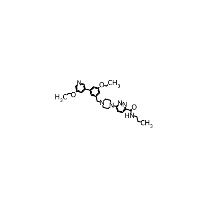 CCCNC(=O)c1ccc(N2CCN(Cc3cc(OCC)cc(-c4cncc(OCC)c4)c3)CC2)nn1